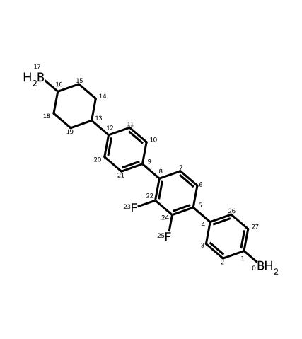 Bc1ccc(-c2ccc(-c3ccc(C4CCC(B)CC4)cc3)c(F)c2F)cc1